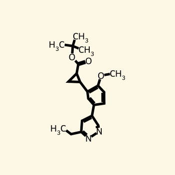 CCc1cc(-c2ccc(OC)c(C3CC3C(=O)OC(C)(C)C)c2)cnn1